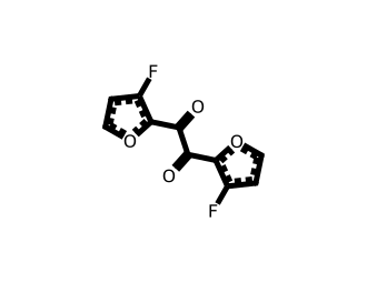 O=C(C(=O)c1occc1F)c1occc1F